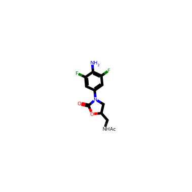 CC(=O)NCC1CN(c2cc(F)c(N)c(F)c2)C(=O)O1